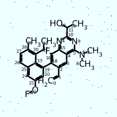 C=Cc1cc2c(N(C)C)nc(C(C)O)nc2c(F)c1-c1cc(OF)cc2ccc(C)c(CC)c12